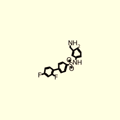 NCc1cccc(NS(=O)(=O)c2ccc(-c3ccc(F)cc3F)cc2)c1